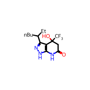 CCCCC(CC)c1n[nH]c2c1C(O)(C(F)(F)F)CC(=O)N2